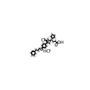 Cl.O=C(O)CCN(c1nc(-c2ccc(OCCCc3ccccc3)cc2)c(Cl)s1)C1CCCC1